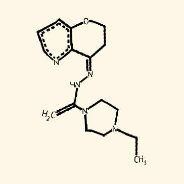 C=C(N/N=C1/CCOc2cccnc21)N1CCN(CC)CC1